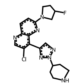 FC1CCN(c2ccc3ncc(Cl)c(-c4cnn(C5CCNCC5)n4)c3n2)C1